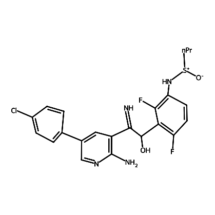 CCC[S+]([O-])Nc1ccc(F)c(C(O)C(=N)c2cc(-c3ccc(Cl)cc3)cnc2N)c1F